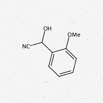 COc1ccccc1C(O)C#N